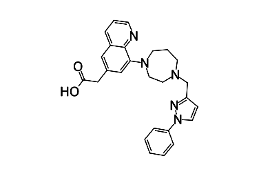 O=C(O)Cc1cc(N2CCCN(Cc3ccn(-c4ccccc4)n3)CC2)c2ncccc2c1